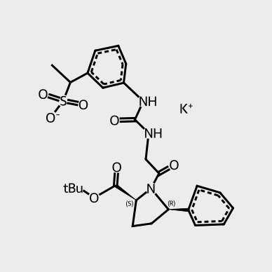 CC(c1cccc(NC(=O)NCC(=O)N2[C@@H](c3ccccc3)CC[C@H]2C(=O)OC(C)(C)C)c1)S(=O)(=O)[O-].[K+]